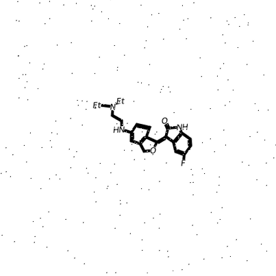 CCN(CC)CCNc1ccc2c(c1)CO/C2=C1/C(=O)Nc2ccc(F)cc21